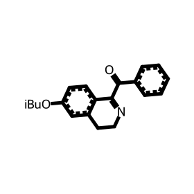 CC(C)COc1ccc2c(c1)CCN=C2C(=O)c1ccccc1